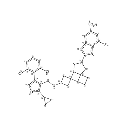 O=C(O)c1cc(F)c2nc(N3CC4C5(CC(OCc6c(-c7c(Cl)cccc7Cl)noc6C6CC6)C5)C5CCC54C3)sc2c1